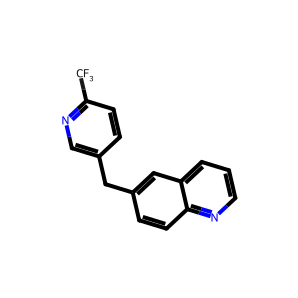 FC(F)(F)c1ccc(Cc2ccc3ncccc3c2)cn1